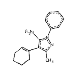 Cc1nn(-c2ccccc2)c(N)c1C1=CCCCC1